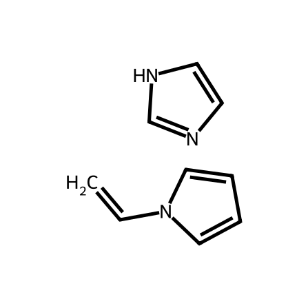 C=Cn1cccc1.c1c[nH]cn1